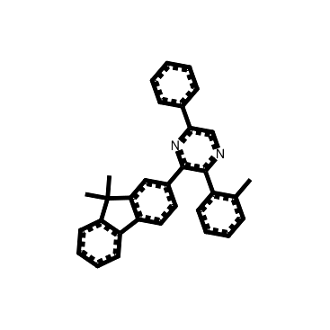 Cc1ccccc1-c1ncc(-c2ccccc2)nc1-c1ccc2c(c1)C(C)(C)c1ccccc1-2